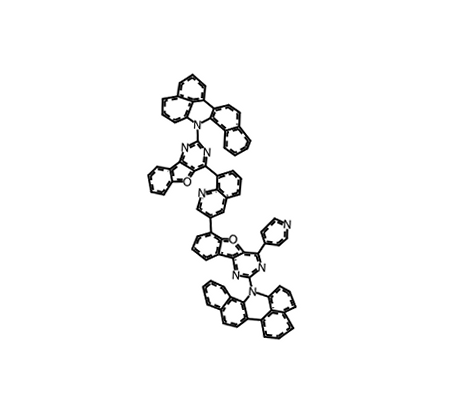 c1ccc2c3c(ccc2c1)-c1cccc2cccc(c12)N3c1nc(-c2cccc3cc(-c4cccc5c4oc4c(-c6ccncc6)nc(N6c7c(ccc8ccccc78)-c7cccc8cccc6c78)nc45)cnc23)c2oc3ccccc3c2n1